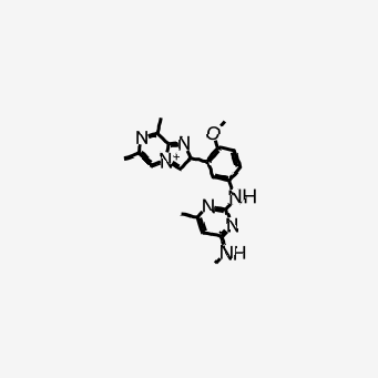 CNc1cc(C)nc(Nc2ccc(OC)c(C3C=[n+]4cc(C)nc(C)c4=N3)c2)n1